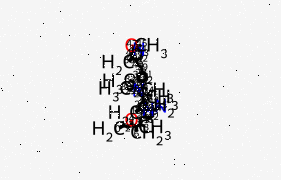 C=CCC(=O)C(=C)C(C)Cc1ccc(C#N)nc1C(=C)CC(=C)[C@@H](CC)CN(C(CC)CC)C(C)c1ccc(CCC2CCN(C)C(=O)CC2=C)cc1